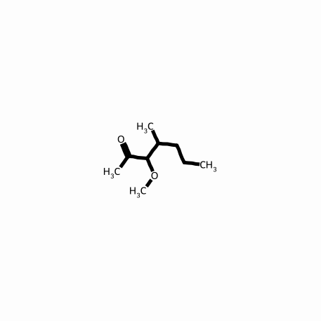 CCCC(C)C(OC)C(C)=O